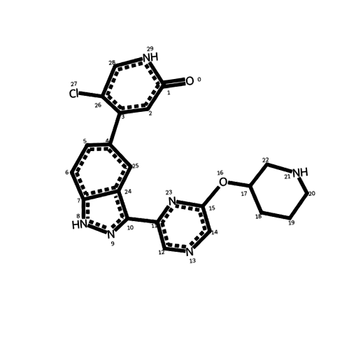 O=c1cc(-c2ccc3[nH]nc(-c4cncc(OC5CCCNC5)n4)c3c2)c(Cl)c[nH]1